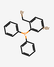 Br.BrCc1ccccc1P(c1ccccc1)c1ccccc1